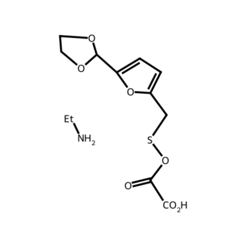 CCN.O=C(O)C(=O)OSCc1ccc(C2OCCO2)o1